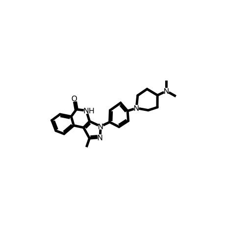 Cc1nn(-c2ccc(N3CCC(N(C)C)CC3)cc2)c2[nH]c(=O)c3ccccc3c12